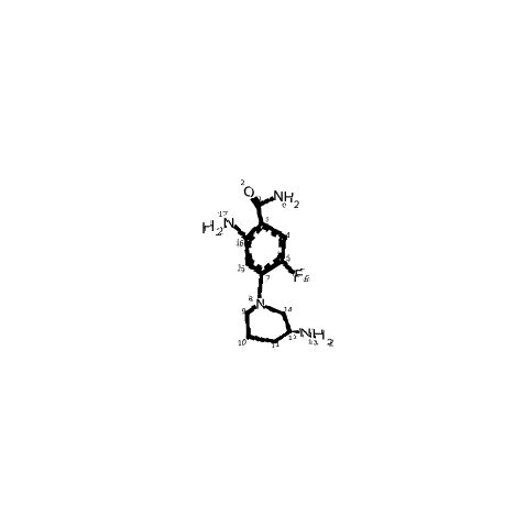 NC(=O)c1cc(F)c(N2CCC[C@H](N)C2)cc1N